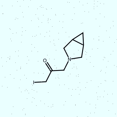 O=C(CI)CN1CC2CC2C1